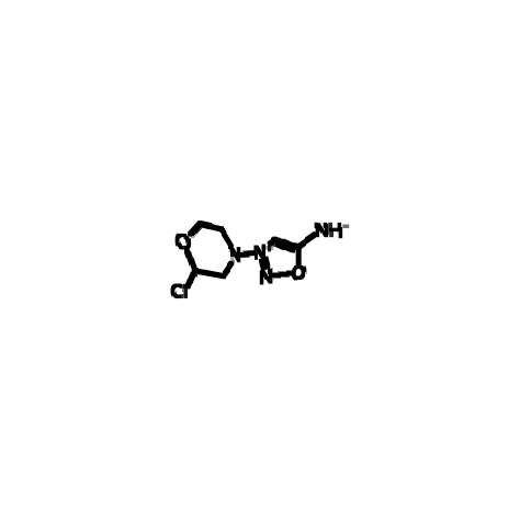 [NH-]c1c[n+](N2CCOC(Cl)C2)no1